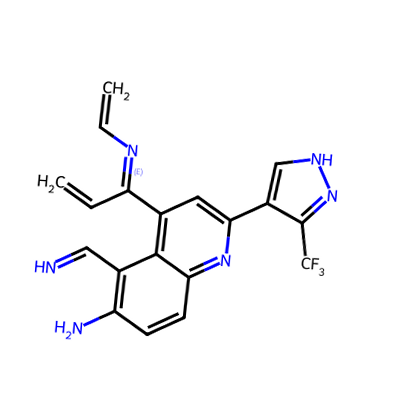 C=C/N=C(\C=C)c1cc(-c2c[nH]nc2C(F)(F)F)nc2ccc(N)c(C=N)c12